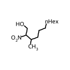 CCCCCCCCCC(C)C(CO)[N+](=O)[O-]